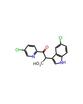 O=C(O)C(C(=O)c1ccc(Cl)cn1)c1c[nH]c2ccc(Cl)cc12